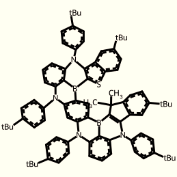 CC(C)(C)c1ccc(N2C3=C(B4c5cc6c(cc5N(c5ccc(C(C)(C)C)cc5)c5cccc2c54)N(c2ccc(C(C)(C)C)cc2)c2cccc4c2B6c2sc5ccc(C(C)(C)C)cc5c2N4c2ccc(C(C)(C)C)cc2)C(C)(C)c2ccc(C(C)(C)C)cc23)cc1